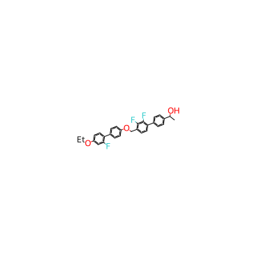 CCOc1ccc(-c2ccc(OCc3ccc(-c4ccc(C(C)O)cc4)c(F)c3F)cc2)c(F)c1